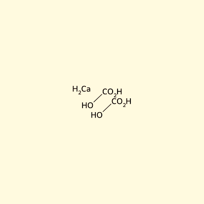 O=C(O)O.O=C(O)O.[CaH2]